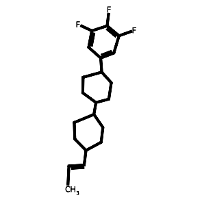 CC=CC1CCC(C2CCC(c3cc(F)c(F)c(F)c3)CC2)CC1